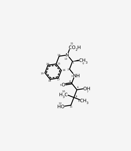 C[C@@H](CNC(=O)C(O)C(C)(C)CO)N(Cc1ccccc1)C(=O)O